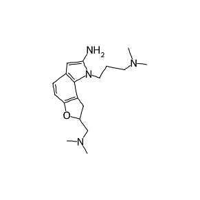 CN(C)CCCn1c(N)cc2ccc3c(c21)CC(CN(C)C)O3